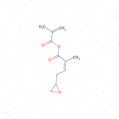 C=C(C)C(=O)OC(=O)C(C)=CCC1CO1